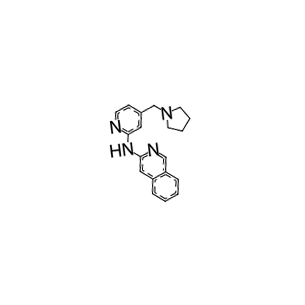 c1ccc2cc(Nc3cc(CN4CCCC4)ccn3)ncc2c1